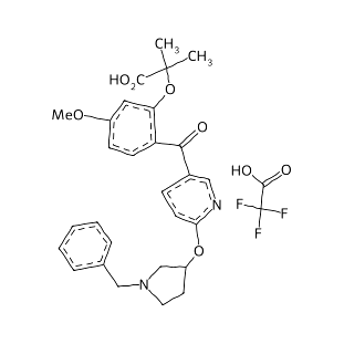 COc1ccc(C(=O)c2ccc(OC3CCN(Cc4ccccc4)C3)nc2)c(OC(C)(C)C(=O)O)c1.O=C(O)C(F)(F)F